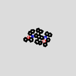 c1ccc2c(-c3c4ccc(N(c5cccc6ccccc56)c5cccc6c5oc5ccccc56)cc4c(-c4cccc5ccccc45)c4ccc(N(c5cccc6ccccc56)c5cccc6c5oc5ccccc56)cc34)cccc2c1